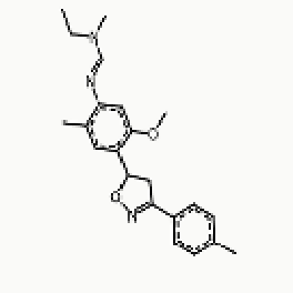 CCN(C)/C=N/c1cc(OC)c(C2CC(c3ccc(C)cc3)=NO2)cc1C